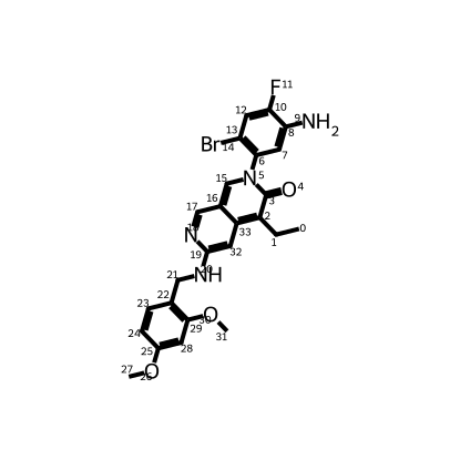 CCc1c(=O)n(-c2cc(N)c(F)cc2Br)cc2cnc(NCc3ccc(OC)cc3OC)cc12